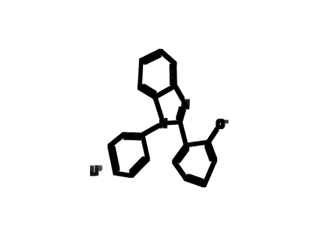 [Li+].[O-]c1ccccc1-c1nc2ccccc2n1-c1ccccc1